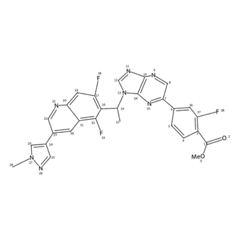 COC(=O)c1ccc(-c2cnc3ncn(C(C)c4c(F)cc5ncc(-c6cnn(C)c6)cc5c4F)c3n2)cc1F